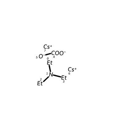 CCN(CC)CC.O=C([O-])[O-].[Cs+].[Cs+]